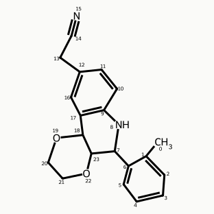 Cc1ccccc1C1Nc2ccc(CC#N)cc2C2OCCOC12